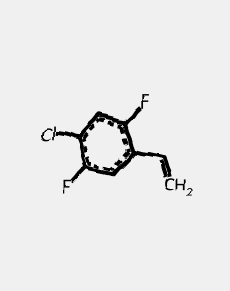 C=Cc1cc(F)c(Cl)cc1F